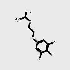 CC(C)OCCOc1cc(F)c(F)c(F)c1